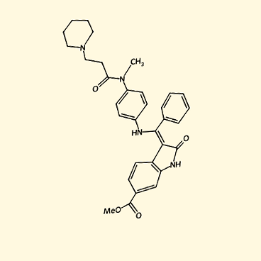 COC(=O)c1ccc2c(c1)NC(=O)C2=C(Nc1ccc(N(C)C(=O)CCN2CCCCC2)cc1)c1ccccc1